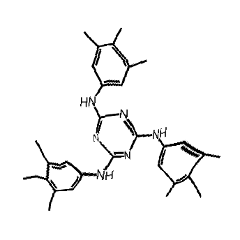 Cc1cc(Nc2nc(Nc3cc(C)c(C)c(C)c3)nc(Nc3cc(C)c(C)c(C)c3)n2)cc(C)c1C